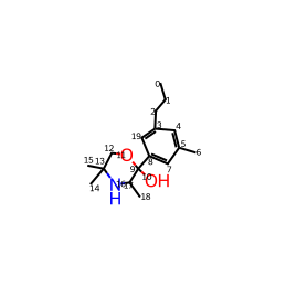 CCCc1cc(C)cc(C2(O)OCC(C)(C)NC2C)c1